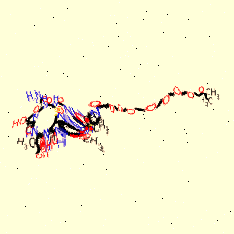 CCC(C)C(=O)CCOCCOCCOCCOCCOCCOCCOCCC(=O)N1CCC(SCc2c(OC)ccc3c4c([nH]c23)[S+]([O-])CC2NC(=O)CNC(=O)[C@H]([C@@H](C)CC)NC(=O)CNC(=O)[C@H](C4)NC(=O)[C@H]([C@@H](C)[C@@H](O)CO)NC(=O)[C@@H]3C[C@@H](O)CN3C(=O)[C@H](CC(N)=O)NC2=O)CC1